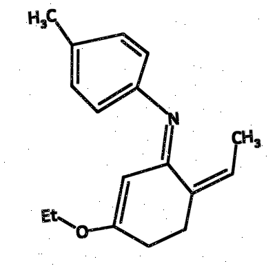 C/C=C1/CCC(OCC)=C/C1=N\c1ccc(C)cc1